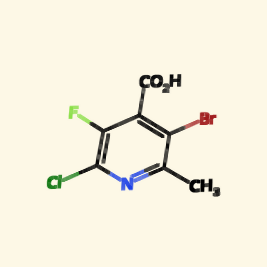 Cc1nc(Cl)c(F)c(C(=O)O)c1Br